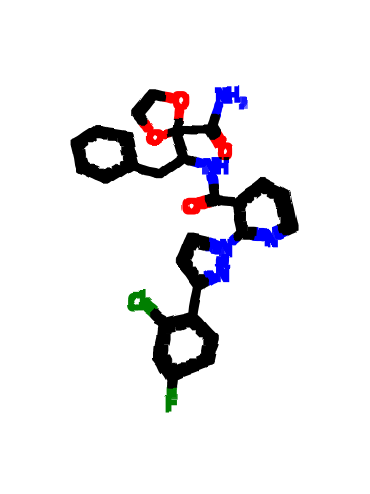 NC(=O)C1(C(Cc2ccccc2)NC(=O)c2cccnc2-n2ccc(-c3ccc(F)cc3Cl)n2)OCCO1